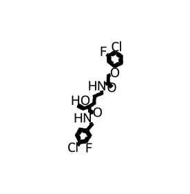 C=CC(O)(CCCNC(=O)COc1ccc(Cl)c(F)c1)C(=O)NCc1ccc(Cl)c(F)c1